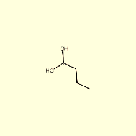 CCC[C](O)O